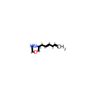 C=CCC=CCC1COCCN1